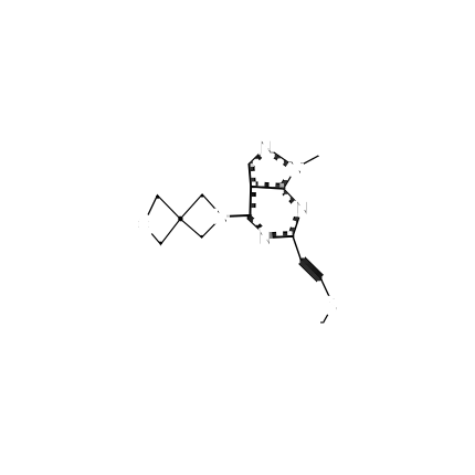 Cn1ncc2c(N3CC4(COC4)C3)nc(C#CSI)nc21